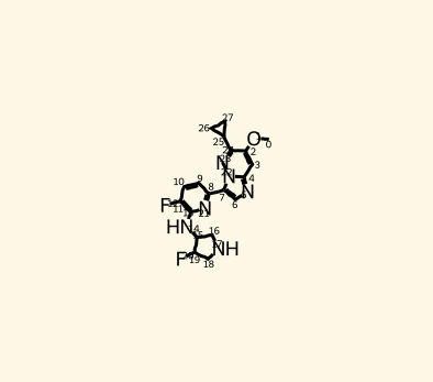 COc1cc2ncc(-c3ccc(F)c(NC4CNCC4F)n3)n2nc1C1CC1